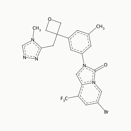 Cc1cc(-n2cc3c(C(F)(F)F)cc(Br)cn3c2=O)cc(C2(Cc3nncn3C)COC2)c1